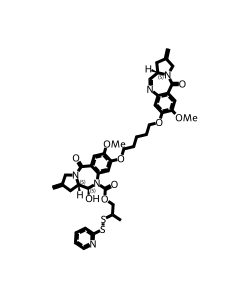 C=C1C[C@H]2C=Nc3cc(OCCCCCOc4cc5c(cc4OC)C(=O)N4CC(=C)C[C@H]4[C@H](O)N5C(=O)OCC(C)SSc4ccccn4)c(OC)cc3C(=O)N2C1